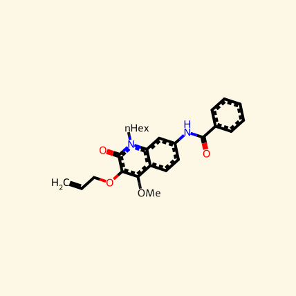 C=CCOc1c(OC)c2ccc(NC(=O)c3ccccc3)cc2n(CCCCCC)c1=O